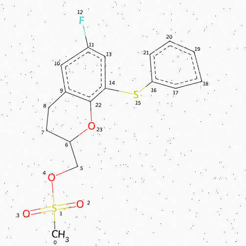 CS(=O)(=O)OCC1CCc2cc(F)cc(Sc3ccccc3)c2O1